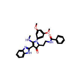 CNC1=C(c2nc3ccccc3[nH]2)C(=O)C(CCNC(=O)c2ccccc2)N1c1cc(OC)cc(OC)c1